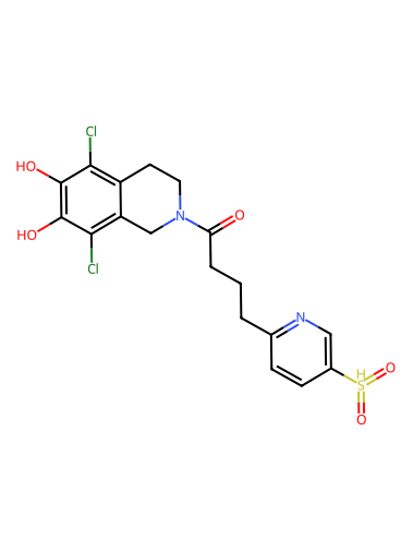 O=C(CCCc1ccc([SH](=O)=O)cn1)N1CCc2c(Cl)c(O)c(O)c(Cl)c2C1